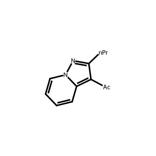 CCCc1nn2ccccc2c1C(C)=O